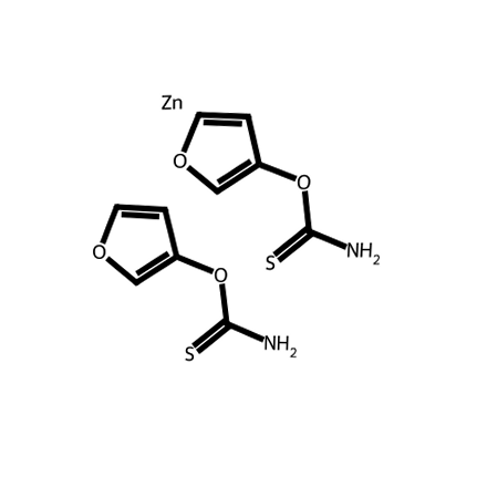 NC(=S)Oc1ccoc1.NC(=S)Oc1ccoc1.[Zn]